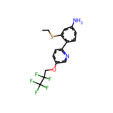 CCSc1cc(N)ccc1-c1ccc(OCC(F)(F)C(F)(F)F)cn1